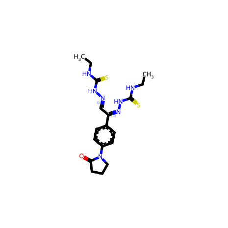 CCNC(=S)N/N=C(\C=N\NC(=S)NCC)c1ccc(N2CCCC2=O)cc1